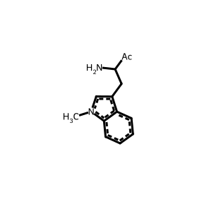 CC(=O)C(N)Cc1cn(C)c2ccccc12